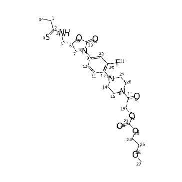 CCC(=S)NC[C@H]1CN(c2ccc(N3CCN(C(=O)COC(=O)OCCOC)CC3)c(F)c2)C(=O)O1